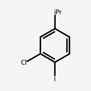 [CH2]C(C)c1ccc(I)c(Cl)c1